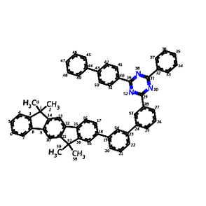 CC1(C)c2ccccc2-c2cc3c(cc21)-c1ccc(-c2cccc(-c4cccc(-c5nc(-c6ccccc6)nc(-c6ccc(-c7ccccc7)cc6)n5)c4)c2)cc1C3(C)C